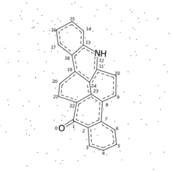 O=c1c2ccccc2c2ccc3[nH]c4ccccc4c4ccc1c2c34